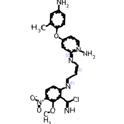 COc1c([N+](=O)[O-])ccc(/N=C/C=C\N=c2\cc(Oc3ccc(N)cc3C)ccn2N)c1C(=N)Cl